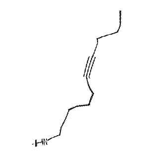 CCCC#CCCC[NH]